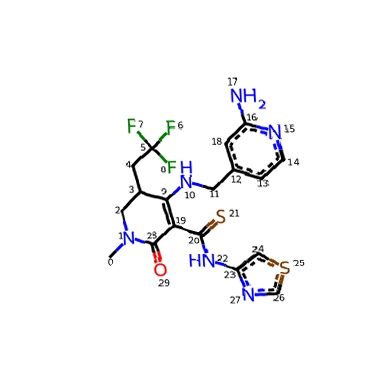 CN1CC(CC(F)(F)F)C(NCc2ccnc(N)c2)=C(C(=S)Nc2cscn2)C1=O